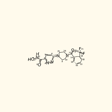 O=C(NO)c1ccc(N2CCN(C(=O)c3ccccc3C(F)(F)F)CC2)nn1